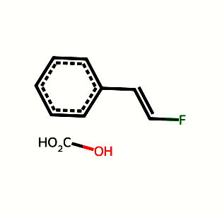 FC=Cc1ccccc1.O=C(O)O